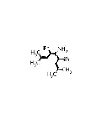 CC(C)=CC(B(N)C(C=C(C)C)C(C)C)C(C)C